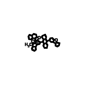 CC1(C)c2ccccc2-c2cc(-c3c4ccccc4c(-c4ccc5oc6ccccc6c5c4)c4ccccc34)c3oc4ccc5ccccc5c4c3c21